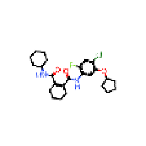 O=C(Nc1cc(OC2CCCC2)c(Cl)cc1F)C1=C(C(=O)NC2CCCCC2)CCCC1